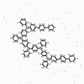 c1ccc(-c2ccc(-c3ccc(N(c4ccccc4)c4ccc(N(c5ccccc5)c5ccc(N(c6ccccc6)c6ccc(N(c7ccccc7)c7ccc(N(c8ccccc8)c8ccc(-c9ccc(-c%10ccccc%10)cc9)cc8)cc7)cc6)cc5)cc4)cc3)cc2)cc1